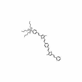 CCCCO[Si](OCCCC)(OCCCC)c1ccc(/C=C/c2cc(C)c(/C=C/c3ccc(/C=C/c4sc(/C=C/c5ccccc5)cc4C)cc3)s2)cc1